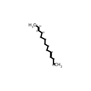 C=CCC=CCCCCCCC=CC